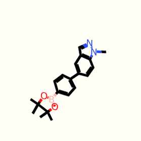 Cn1ncc2cc(-c3ccc(B4OC(C)(C)C(C)(C)O4)cc3)ccc21